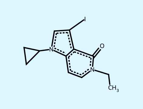 CCn1ccc2c(c(I)cn2C2CC2)c1=O